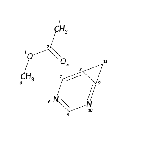 COC(C)=O.c1ncc2c(n1)C2